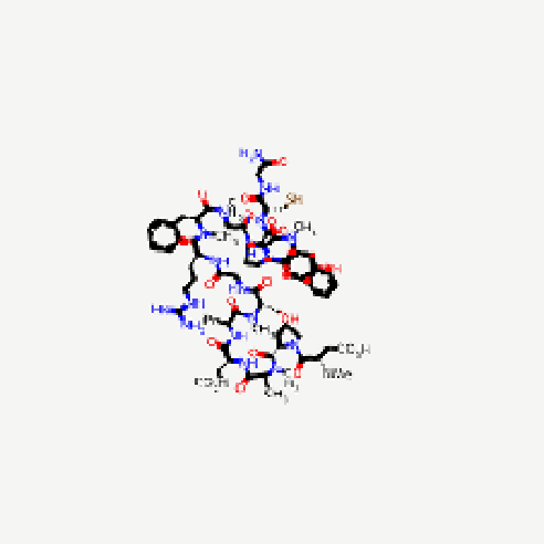 CN[C@@H](CC(=O)O)C(=O)N1CCC[C@H]1C(=O)N(C)[C@@H](C)C(=O)N[C@@H](CC(=O)O)C(=O)NC(C(=O)N(C)[C@@H](CO)C(=O)NCC(=O)N[C@@H](CCCNC(=N)N)C(=O)N(C)[C@@H](Cc1ccccc1)C(=O)N(C)CC(=O)N[C@@H](Cc1ccc(O)cc1)C(=O)N(C)[C@@H](Cc1ccccc1)C(=O)N1CCC[C@H]1C(=O)N[C@@H](CS)C(=O)NCC(N)=O)C(C)C